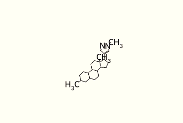 CC1CCC2C(CCC3C2CCC2(C)C(c4cnn(C)c4)CCC32)C1